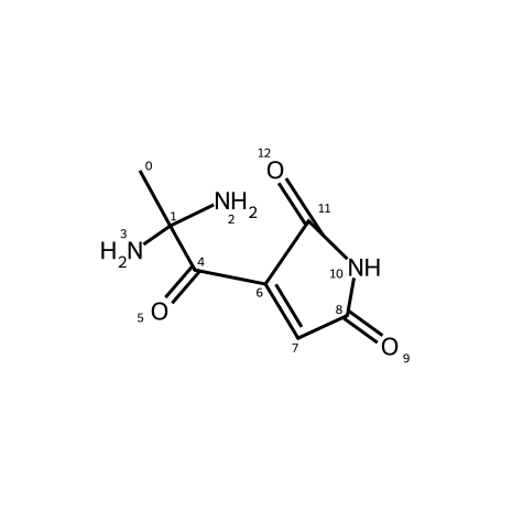 CC(N)(N)C(=O)C1=CC(=O)NC1=O